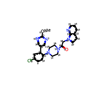 COc1ncc(-c2cc(Cl)ccc2N2CCN(C(=O)Cn3ccc4cccnc43)CC2)cn1